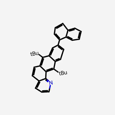 CC(C)(C)c1c2cc(-c3cccc4ccccc34)ccc2c(C(C)(C)C)c2c1ccc1cccnc12